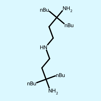 CCCCC(N)(CCCC)CCNCCC(N)(CCCC)CCCC